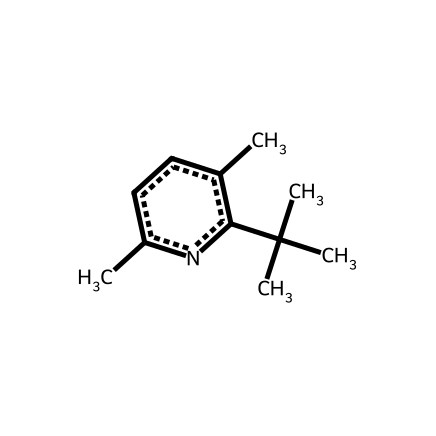 Cc1ccc(C)c(C(C)(C)C)n1